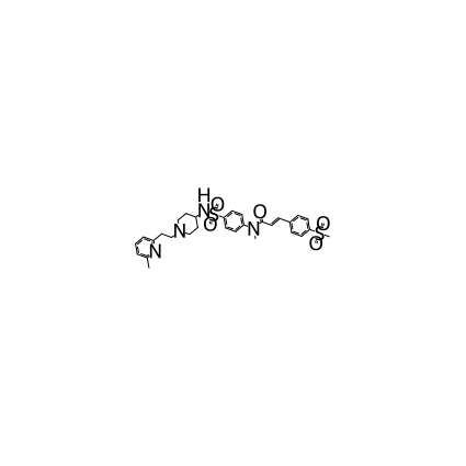 Cc1cccc(CCN2CCC(NS(=O)(=O)c3ccc(N(C)C(=O)C=Cc4ccc(S(C)(=O)=O)cc4)cc3)CC2)n1